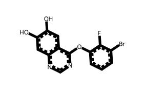 Oc1cc2ncnc(Oc3cccc(Br)c3F)c2cc1O